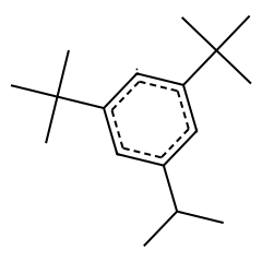 CC(C)c1cc(C(C)(C)C)[c]c(C(C)(C)C)c1